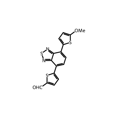 COc1ccc(-c2ccc(-c3ccc(C=O)s3)c3nsnc23)s1